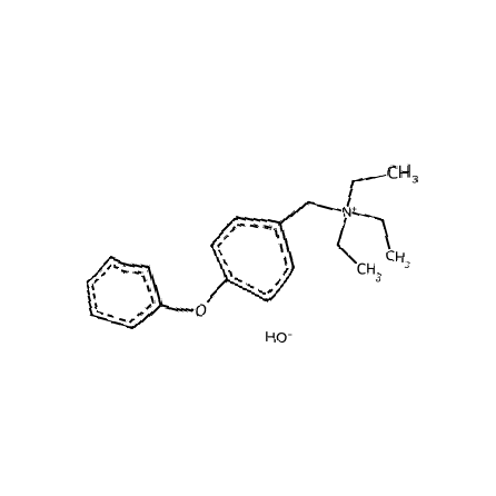 CC[N+](CC)(CC)Cc1ccc(Oc2ccccc2)cc1.[OH-]